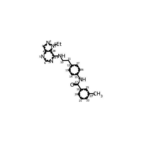 CCn1ncc2ncnc(NCCc3ccc(NC(=O)c4cccc(C)c4)cc3)c21